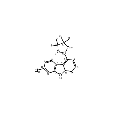 CC1(C)OB(C2=C3c4ccc(Cl)cc4OC3CC=C2)OC1(C)C